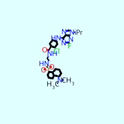 CC(C)n1cnc2c(Nc3ccc(C(=O)NCCNS(=O)(=O)c4cccc5c(N(C)C)cccc45)c(Cl)c3)nc(F)nc21